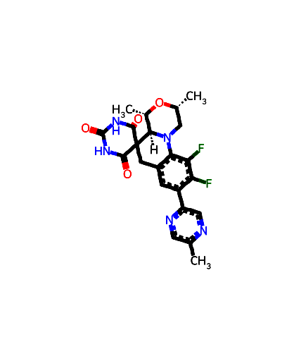 Cc1cnc(-c2cc3c(c(F)c2F)N2C[C@@H](C)O[C@@H](C)[C@@H]2C2(C3)C(=O)NC(=O)NC2=O)cn1